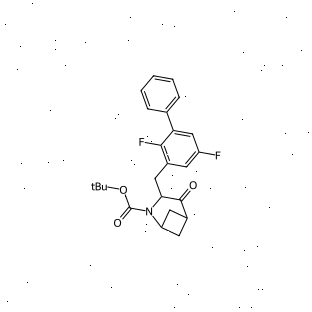 CC(C)(C)OC(=O)N1C2CC(C2)C(=O)C1Cc1cc(F)cc(-c2ccccc2)c1F